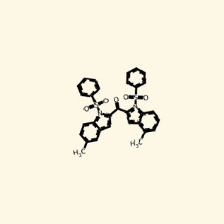 Cc1ccc2c(c1)cc(C(=O)c1cc3c(C)cccc3n1S(=O)(=O)c1ccccc1)n2S(=O)(=O)c1ccccc1